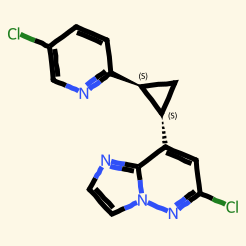 Clc1ccc([C@H]2C[C@@H]2c2cc(Cl)nn3ccnc23)nc1